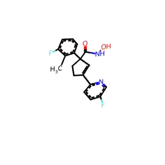 Cc1c(F)cccc1C1(C(=O)NO)C=C(c2ccc(F)cn2)CC1